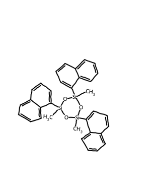 C[Si]1(c2cccc3ccccc23)O[Si](C)(c2cccc3ccccc23)O[Si](C)(c2cccc3ccccc23)O1